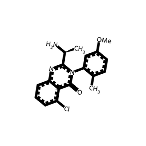 COc1ccc(C)c(-n2c([C@H](C)N)nc3cccc(Cl)c3c2=O)c1